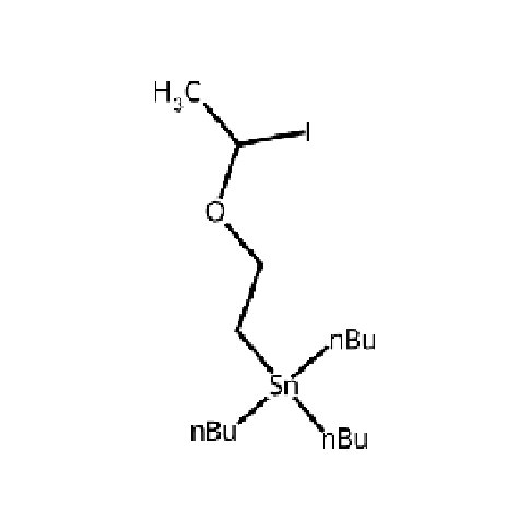 CCC[CH2][Sn]([CH2]CCC)([CH2]CCC)[CH2]COC(C)I